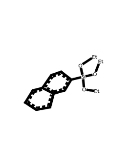 CCO[Si](OCC)(OCC)c1ccc2ccccc2c1